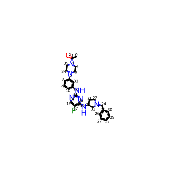 CC(=O)N1CCN(c2cccc(Nc3ncc(F)c(NC4CCN(Cc5ccccc5)C4)n3)c2)CC1